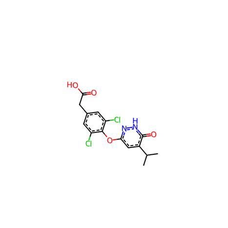 CC(C)c1cc(Oc2c(Cl)cc(CC(=O)O)cc2Cl)n[nH]c1=O